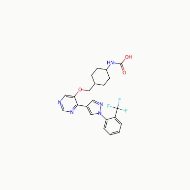 O=C(O)NC1CCC(COc2cncnc2-c2cnn(-c3ccccc3C(F)(F)F)c2)CC1